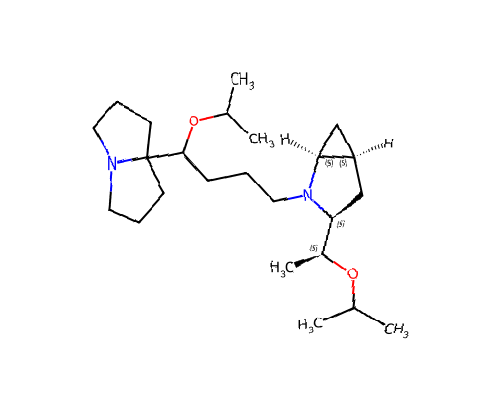 CC(C)OC(CCCN1[C@H]2C[C@H]2C[C@H]1[C@H](C)OC(C)C)C12CCCN1CCC2